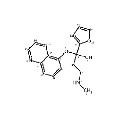 CNCCC(O)(Oc1cccc2nccnc12)c1cccs1